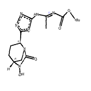 C/C(=N\C(=O)OC(C)(C)C)Nc1nnc([C@@H]2CC[C@@H]3CN2C(=O)N3O)o1